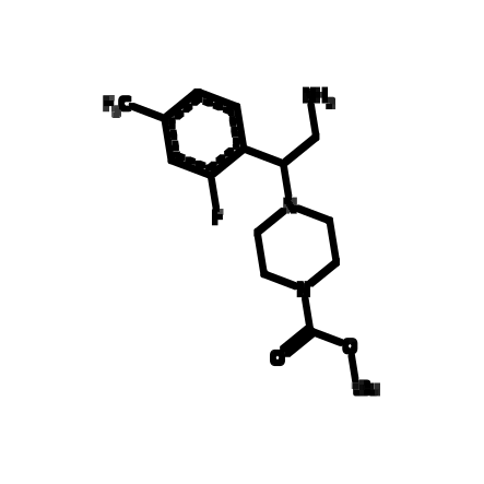 CC(C)(C)OC(=O)N1CCN(C(CN)c2ccc(C(F)(F)F)cc2F)CC1